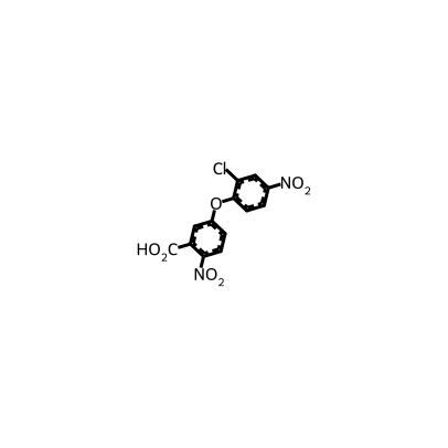 O=C(O)c1cc(Oc2ccc([N+](=O)[O-])cc2Cl)ccc1[N+](=O)[O-]